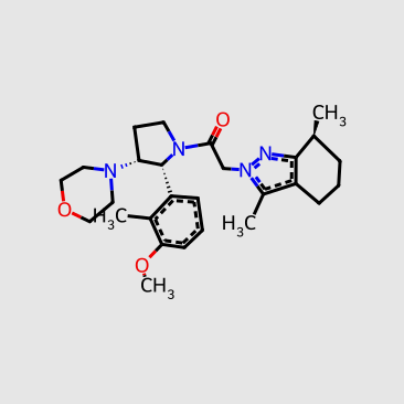 COc1cccc([C@@H]2[C@H](N3CCOCC3)CCN2C(=O)Cn2nc3c(c2C)CCC[C@@H]3C)c1C